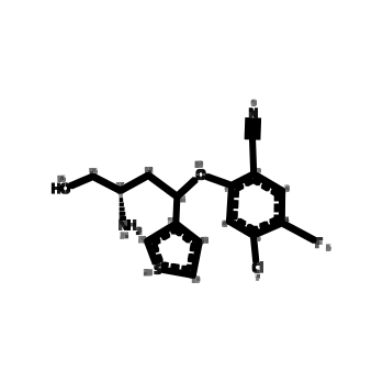 N#Cc1cc(F)c(Cl)cc1OC(C[C@H](N)CO)c1ccsc1